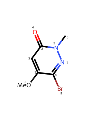 COc1cc(=O)n(C)nc1Br